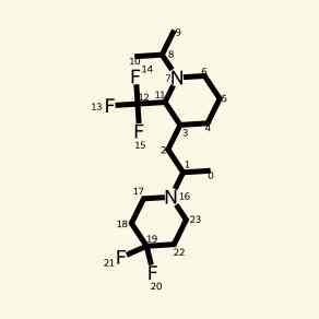 CC(CC1CCCN(C(C)C)C1C(F)(F)F)N1CCC(F)(F)CC1